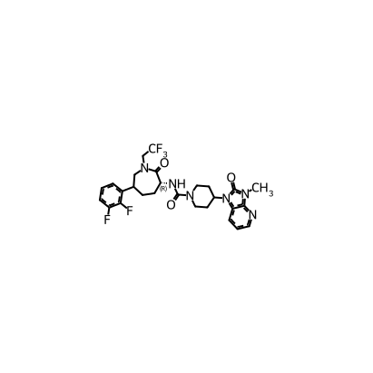 Cn1c(=O)n(C2CCN(C(=O)N[C@@H]3CCC(c4cccc(F)c4F)CN(CC(F)(F)F)C3=O)CC2)c2cccnc21